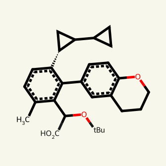 Cc1ccc([C@@H]2CC2C2CC2)c(-c2ccc3c(c2)CCCO3)c1C(OC(C)(C)C)C(=O)O